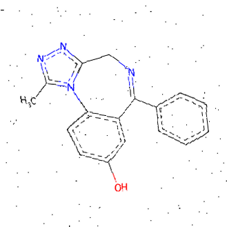 Cc1nnc2n1-c1ccc(O)cc1C(c1ccccc1)=NC2